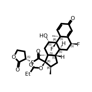 CCC(=O)O[C@]1(C(=O)S[C@H]2CCOC2=O)[C@H](C)C[C@H]2[C@@H]3C[C@H](F)C4=CC(=O)C=C[C@]4(C)[C@@]3(F)[C@@H](O)C[C@@]21C